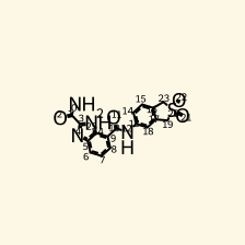 NC(=O)c1nc2cccc(C(=O)Nc3ccc4c(c3)CS(=O)(=O)C4)c2[nH]1